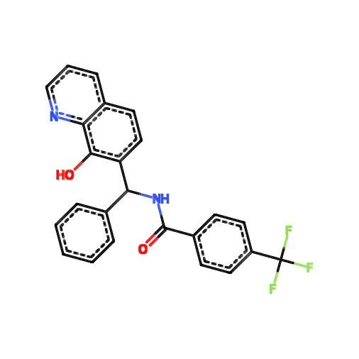 O=C(NC(c1ccccc1)c1ccc2cccnc2c1O)c1ccc(C(F)(F)F)cc1